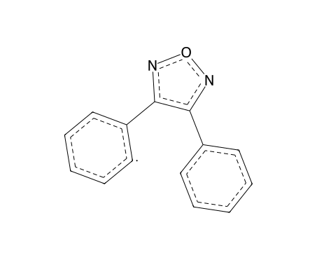 [c]1ccccc1-c1nonc1-c1ccccc1